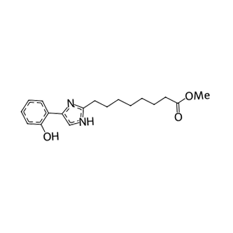 COC(=O)CCCCCCCc1nc(-c2ccccc2O)c[nH]1